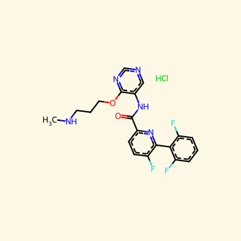 CNCCCOc1ncncc1NC(=O)c1ccc(F)c(-c2c(F)cccc2F)n1.Cl